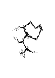 Cc1ccccc1C(I)C(=O)O